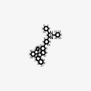 c1ccc(-c2cc(-c3ccc(-c4ccc5c6c(ccc5c4)-c4c(ccc5ccccc45)C64c5ccccc5-c5ccccc54)cc3)nc(-c3ccccc3)n2)cc1